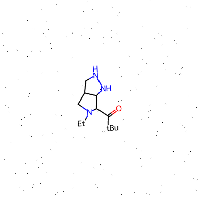 CCN1CC2CNNC2C1C(=O)C(C)(C)C